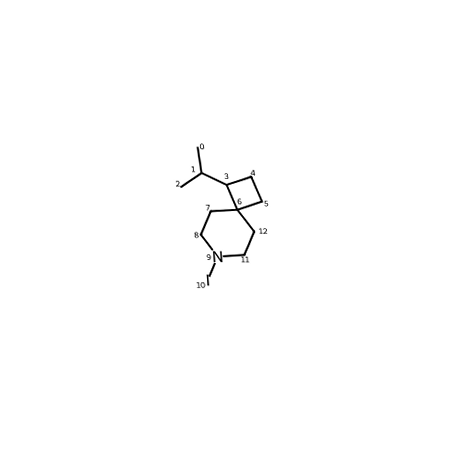 CC(C)C1CCC12CCN(I)CC2